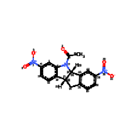 CC(=O)N1c2cc([N+](=O)[O-])ccc2[C@H]2Cc3ccc([N+](=O)[O-])cc3[C@H]21